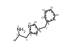 CC(N)Cc1cn(Cc2ccccc2)cn1